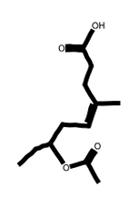 CCC(CC=C(C)CCC(=O)O)OC(C)=O